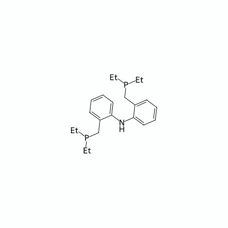 CCP(CC)Cc1ccccc1Nc1ccccc1CP(CC)CC